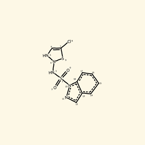 O=S(=O)(NN1NC=C(Cl)S1)n1ncc2ccccc21